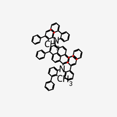 Cc1c(-c2ccccc2)cccc1N(c1ccccc1-c1ccccc1)c1cc(-c2ccccc2)c2ccc3c(N(c4ccccc4-c4ccccc4)c4cccc(-c5ccccc5)c4C)cc(-c4ccccc4)c4ccc1c2c43